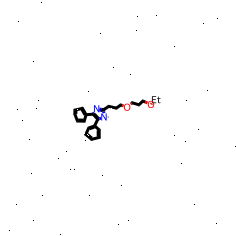 CCOCCCOCCCC1=NC(c2ccccc2)=C(c2ccccc2)[N]1